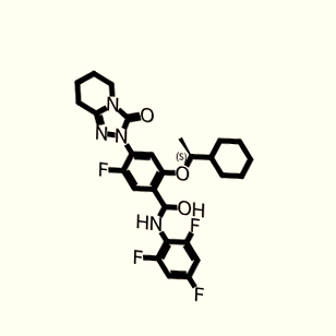 C[C@H](Oc1cc(-n2nc3n(c2=O)CCCC3)c(F)cc1C(O)Nc1c(F)cc(F)cc1F)C1CCCCC1